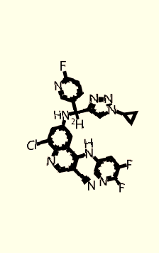 [2H]C(Nc1cc(Cl)c2ncc(C#N)c(Nc3cnc(F)c(F)c3)c2c1)(c1ccc(F)nc1)c1cn(C2CC2)nn1